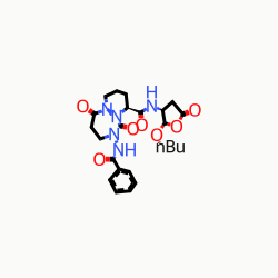 CCCCOC1OC(=O)C[C@@H]1NC(=O)[C@@H]1CCCN2C(=O)CCN(NC(=O)c3ccccc3)C(=O)N12